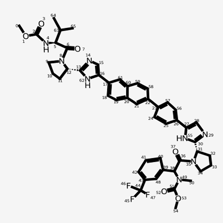 COC(=O)N[C@H](C(=O)N1CCC[C@H]1c1ncc(-c2ccc3cc(-c4ccc(-c5cnc([C@@H]6CCCN6C(=O)C(c6cccc(C(F)(F)F)c6)N(C)C(=O)OC)[nH]5)cc4)ccc3c2)[nH]1)C(C)C